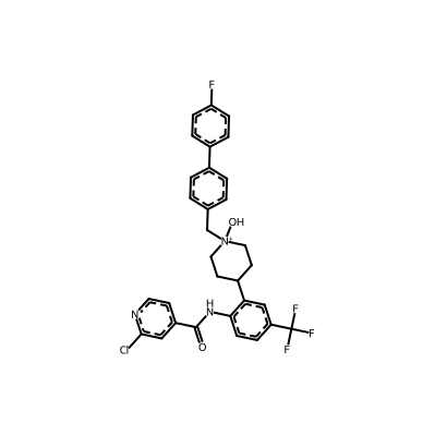 O=C(Nc1ccc(C(F)(F)F)cc1C1CC[N+](O)(Cc2ccc(-c3ccc(F)cc3)cc2)CC1)c1ccnc(Cl)c1